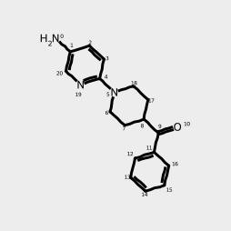 Nc1ccc(N2CCC(C(=O)c3ccccc3)CC2)nc1